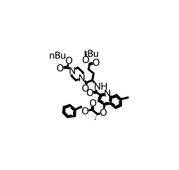 CCCCOC(=O)N1CCN(C(=O)C(CCC(=O)OC(C)(C)C)NC(=O)c2cc(O[C@H](C)C(=O)OCc3ccccc3)c3ccc(C)cc3n2)CC1